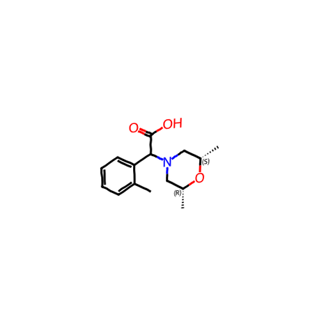 Cc1ccccc1C(C(=O)O)N1C[C@@H](C)O[C@@H](C)C1